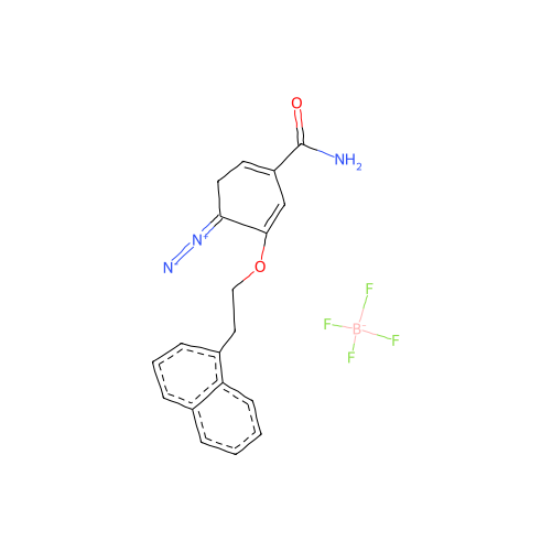 F[B-](F)(F)F.[N-]=[N+]=C1CC=C(C(N)=O)C=C1OCCc1cccc2ccccc12